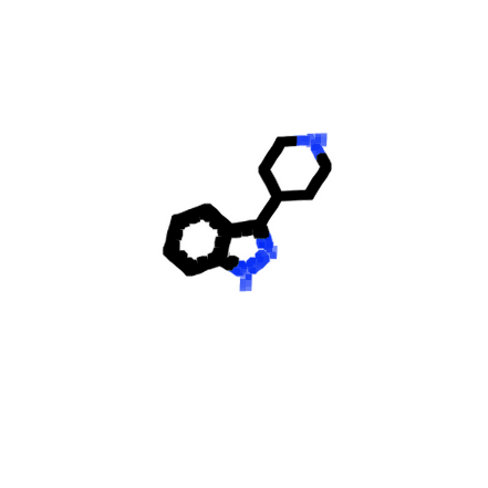 c1ccc2c(C3CCNCC3)n[nH]c2c1